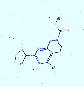 CC(C)(C)OC(=O)N1CCc2c(nc(C3CCCC3)nc2C(F)(F)F)C1